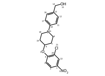 O=[N+]([O-])c1ccc(OC2CCN(c3ccc(CO)cc3)CC2)c(Cl)c1